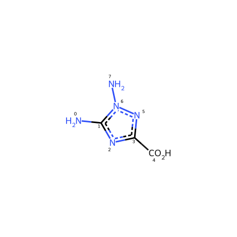 Nc1nc(C(=O)O)nn1N